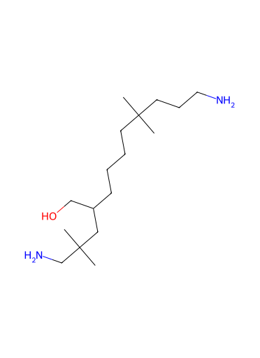 CC(C)(CCCN)CCCCC(CO)CC(C)(C)CN